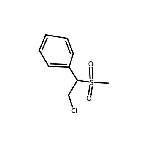 CS(=O)(=O)C(CCl)c1ccccc1